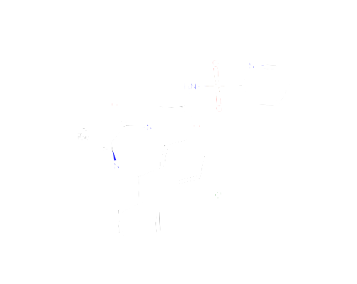 CC[C@H](C)[C@@H]1N=C(c2ccccc2)c2cc(Cl)ccc2N(CC(=O)NS(=O)(=O)c2ccccn2)C1=O